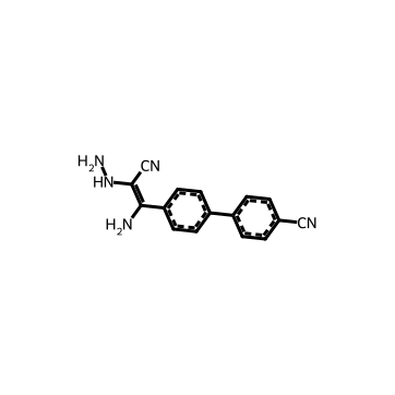 N#C/C(NN)=C(/N)c1ccc(-c2ccc(C#N)cc2)cc1